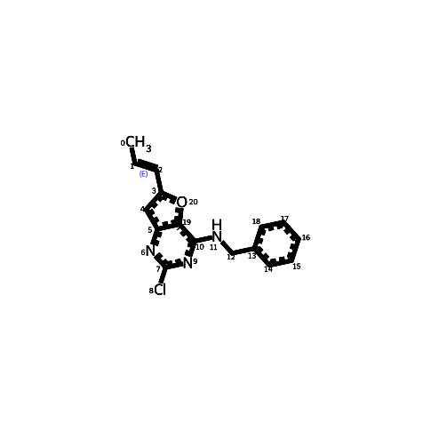 C/C=C/c1cc2nc(Cl)nc(NCc3ccccc3)c2o1